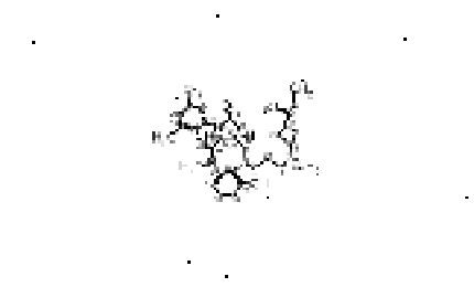 C=CC(=O)N1CC(N(C)CCCN2C[C@H]3CC(=O)N(c4cc(C(F)(F)F)cc(C)n4)[C@@H]3C(=O)N(C)c3cccc(C)c32)C1